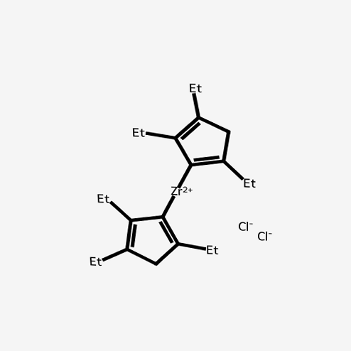 CCC1=C(CC)[C]([Zr+2][C]2=C(CC)CC(CC)=C2CC)=C(CC)C1.[Cl-].[Cl-]